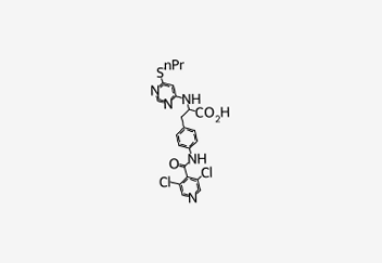 CCCSc1cc(NC(Cc2ccc(NC(=O)c3c(Cl)cncc3Cl)cc2)C(=O)O)ncn1